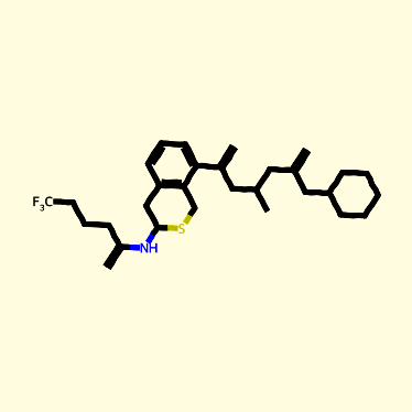 C=C(CC(C)CC(=C)c1cccc2c1CSC(NC(=C)CCCC(F)(F)F)C2)CC1CCCCC1